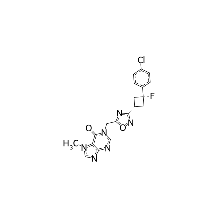 Cn1cnc2ncn(Cc3nc([C@H]4C[C@](F)(c5ccc(Cl)cc5)C4)no3)c(=O)c21